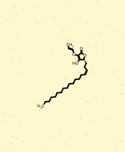 CC=COC1=C(O)[C@H](CC/C=C\CCCCCCCCCCCCCC)OC1=O